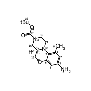 Cc1cc(N)cc2c1N1CCN(C(=O)OC(C)(C)C)C[C@@H]1CO2